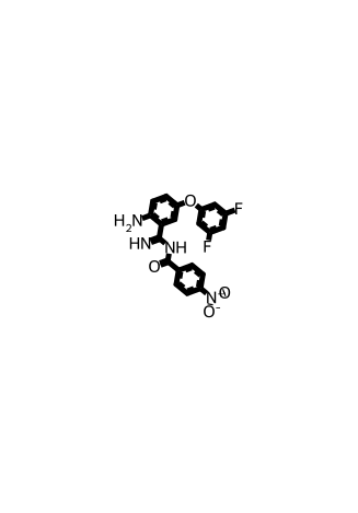 N=C(NC(=O)c1ccc([N+](=O)[O-])cc1)c1cc(Oc2cc(F)cc(F)c2)ccc1N